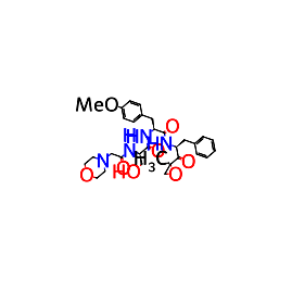 COc1ccc(C[C@H](NC(=O)[C@@H](CO)NC(=O)CN2CCOCC2)C(=O)N[C@@H](Cc2ccccc2)C(=O)[C@@]2(C)CO2)cc1